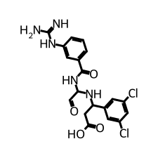 N=C(N)Nc1cccc(C(=O)NC(C=O)NC(CC(=O)O)c2cc(Cl)cc(Cl)c2)c1